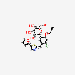 C#CCOc1cc(Cl)c(Cc2ncc(-c3ccco3)s2)cc1[C@@H]1O[C@H](CO)[C@@H](O)[C@H](O)[C@H]1O